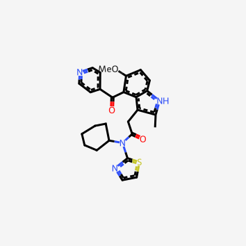 COc1ccc2[nH]c(C)c(CC(=O)N(c3nccs3)C3CCCCC3)c2c1C(=O)c1ccncc1